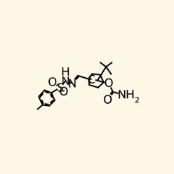 Cc1ccc(S(=O)(=O)NN=CC23CCC(OC(N)=O)(CC2)C(C(C)(C)C)C3)cc1